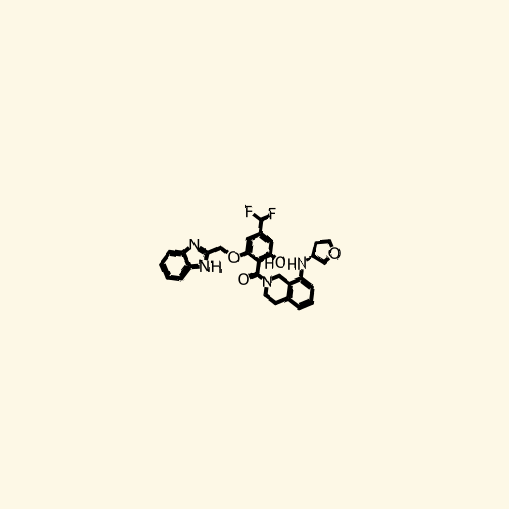 O=C(c1c(O)cc(C(F)F)cc1OCc1nc2ccccc2[nH]1)N1CCc2cccc(N[C@H]3CCOC3)c2C1